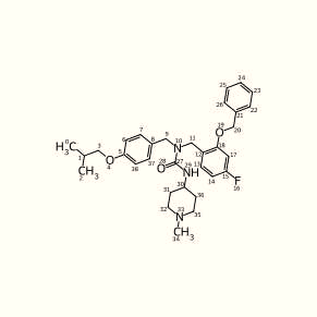 CC(C)COc1ccc(CN(Cc2ccc(F)cc2OCc2ccccc2)C(=O)NC2CCN(C)CC2)cc1